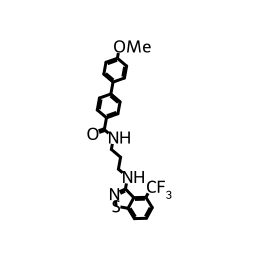 COc1ccc(-c2ccc(C(=O)NCCCNc3nsc4cccc(C(F)(F)F)c34)cc2)cc1